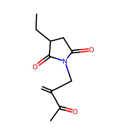 C=C(CN1C(=O)CC(CC)C1=O)C(C)=O